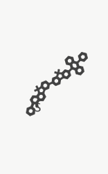 CC1(C)c2cc(-c3ccc4c(c3)-c3ccc5c(ccc6c7ccccc7sc56)c3C4(C)C)ccc2-c2ccc(-c3c4ccccc4c(-c4ccccc4)c4ccccc34)cc21